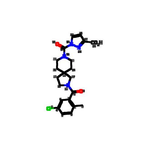 Cc1ccc(Cl)cc1C(=O)N1CCC2(CCN(C(=O)n3ccc(C(=O)O)n3)CC2)C1